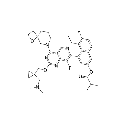 CCc1c(F)ccc2cc(OC(=O)C(C)C)cc(-c3ncc4c(N5CCC[C@]6(CCO6)C5)nc(OCC5(CN(C)C)CC5)nc4c3F)c12